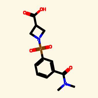 CN(C)C(=O)c1cccc(S(=O)(=O)N2CC(C(=O)O)C2)c1